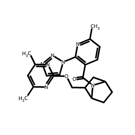 Cc1cc(C)nc(OCC2CC3CCC2N3C(=O)c2ccc(C)nc2-n2ccnn2)n1